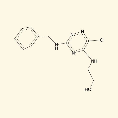 OCCNc1nc(NCc2ccccc2)nnc1Cl